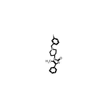 CC1=C(c2ccccc2)[N]C(=O)N1C1CCN(Cc2cccc(I)c2)CC1